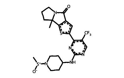 C[S+]([O-])N1CCC(Nc2ncc(C(F)(F)F)c(-c3cc4c(s3)C3(C)CCCN3C4=O)n2)CC1